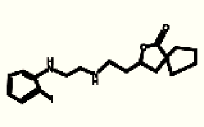 O=C1OC(CCNCCNc2ccccc2I)CC12CCCC2